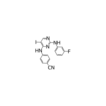 N#Cc1ccc(Nc2nc(Nc3cccc(F)c3)ncc2I)cc1